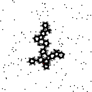 CC1(C)c2ccccc2-c2cc3c4ccccc4n(-c4cc(-c5cccc(-n6c7ccccc7c7cc8c(cc76)C(C)(C)c6ccccc6-8)c5C#N)ccc4-c4nc(-c5ccccc5)nc(-c5ccccc5)n4)c3cc21